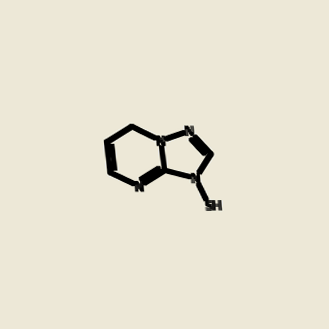 SN1C=NN2CC=CN=C12